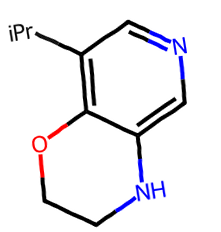 CC(C)c1cncc2c1OCCN2